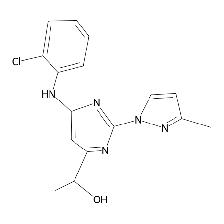 Cc1ccn(-c2nc(Nc3ccccc3Cl)cc(C(C)O)n2)n1